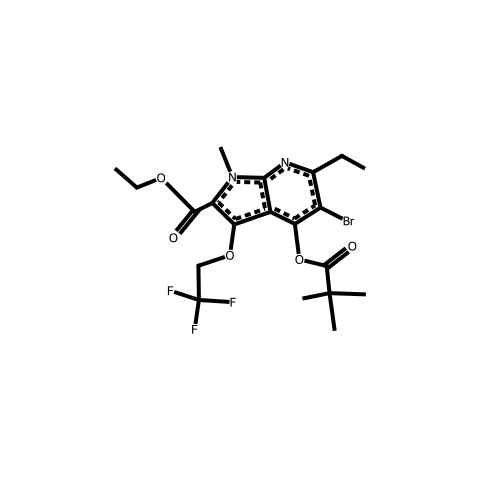 CCOC(=O)c1c(OCC(F)(F)F)c2c(OC(=O)C(C)(C)C)c(Br)c(CC)nc2n1C